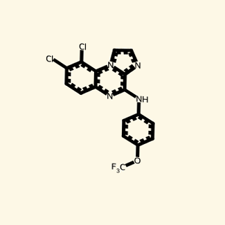 FC(F)(F)Oc1ccc(Nc2nc3ccc(Cl)c(Cl)c3n3ccnc23)cc1